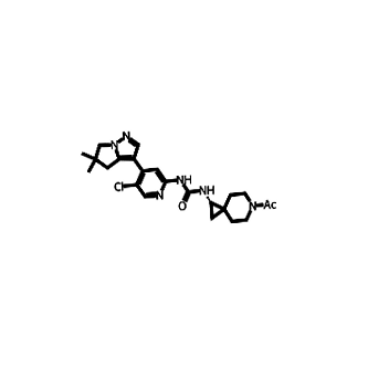 CC(=O)N1CCC2(CC1)C[C@@H]2NC(=O)Nc1cc(-c2cnn3c2CC(C)(C)C3)c(Cl)cn1